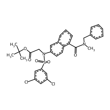 CN(Cc1ccccc1)C(=O)c1cccc2cc(N(CC(=O)OC(C)(C)C)S(=O)(=O)c3cc(Cl)cc(Cl)c3)ccc12